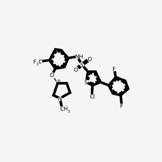 CN1CC[C@@H](Oc2cc(NS(=O)(=O)c3cc(-c4cc(F)ccc4F)c(Cl)s3)ccc2C(F)(F)F)C1